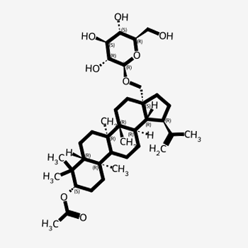 C=C(C)[C@@H]1CC[C@]2(CO[C@@H]3O[C@H](CO)[C@@H](O)[C@H](O)[C@H]3O)CC[C@]3(C)[C@H](CCC4[C@@]5(C)CC[C@H](OC(C)=O)C(C)(C)[C@@H]5CC[C@]43C)[C@@H]12